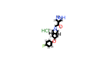 Cl.O=C(CN1C[C@H]2C[C@@H](Oc3ccc(F)cc3)C[C@H]2C1)c1cn[nH]c1